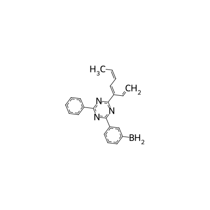 Bc1cccc(-c2nc(/C(C=C)=C/C=C\C)nc(-c3ccccc3)n2)c1